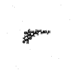 Cn1c(=O)n(C2CCC(=O)NC2=O)c2ccc(N3CC(CCS(=O)(=O)O)C3)cc21